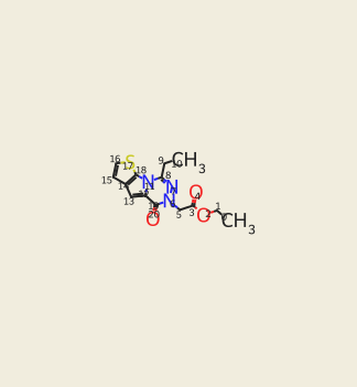 CCOC(=O)Cn1nc(CC)n2c(cc3ccsc32)c1=O